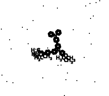 CC(C)CC(c1ccc(-c2ccc3c(c2)c2cc(C4=CCC(N(c5ccccc5)c5ccccc5)C=C4)ccc2n3-c2ccc(OC(C)(C)C)cc2)cc1)C(C)(C)C